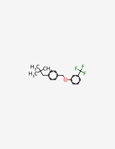 CC(C)(C)Cc1ccc(COc2cccc(C(F)(F)F)c2)cc1